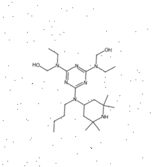 CCCCN(c1nc(N(CC)CO)nc(N(CC)CO)n1)C1CC(C)(C)NC(C)(C)C1